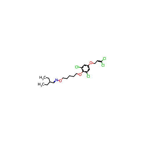 CCC(C=NOCCCCCOc1c(Cl)cc(OCC=C(Cl)Cl)cc1Cl)CC